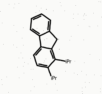 CC(C)c1ccc2c(c1C(C)C)[CH]c1ccccc1-2